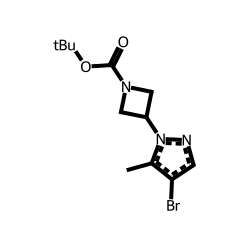 Cc1c(Br)cnn1C1CN(C(=O)OC(C)(C)C)C1